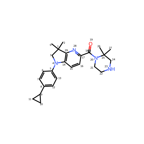 CC1(C)CN(c2ccc(C3CC3)cc2)c2ccc(C(=O)N3CCNCC3(C)C)nc21